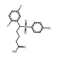 O=C(O)CCCC(c1cc(F)ccc1F)S(=O)(=O)c1ccc(Cl)cc1